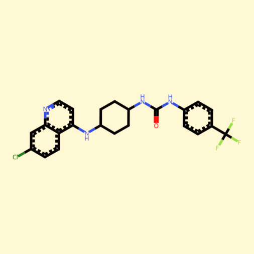 O=C(Nc1ccc(C(F)(F)F)cc1)NC1CCC(Nc2ccnc3cc(Cl)ccc23)CC1